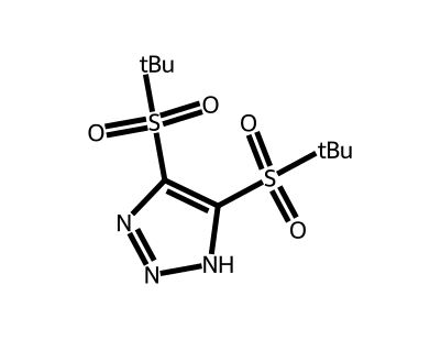 CC(C)(C)S(=O)(=O)c1nn[nH]c1S(=O)(=O)C(C)(C)C